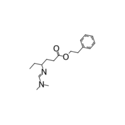 CCC(CCC(=O)OCCc1ccccc1)N=CN(C)C